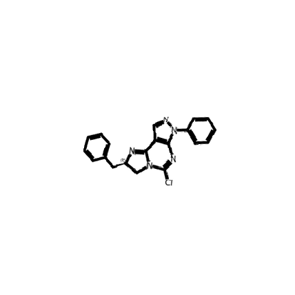 ClC1=Nc2c(cnn2-c2ccccc2)C2=N[C@H](Cc3ccccc3)CN12